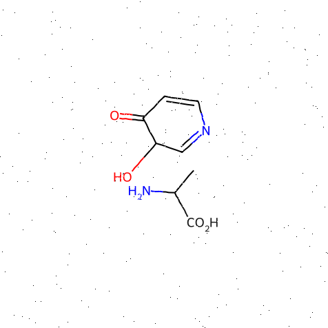 CC(N)C(=O)O.O=C1C=CN=CC1O